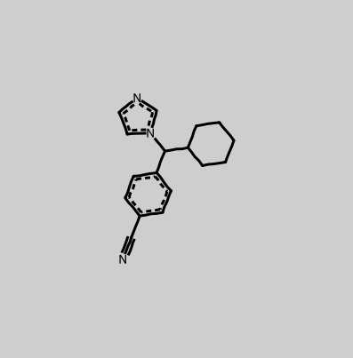 N#Cc1ccc(C(C2CCCCC2)n2ccnc2)cc1